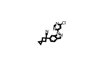 N#CC1(c2ccc3cnn(-c4cc(Cl)ncn4)c3c2)CC2(CC2)C1